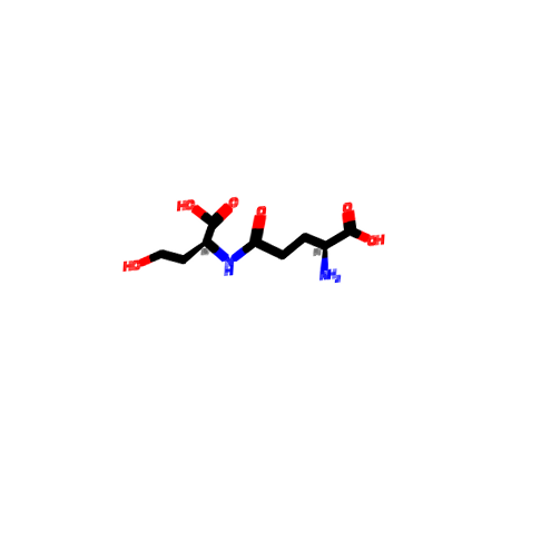 N[C@@H](CCC(=O)N[C@@H](CCO)C(=O)O)C(=O)O